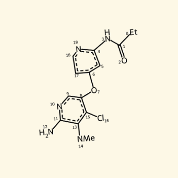 CCC(=O)Nc1cc(Oc2cnc(N)c(NC)c2Cl)ccn1